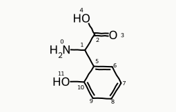 NC(C(=O)O)c1ccccc1O